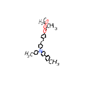 C=CC(=O)OC(C)COc1ccc(CCc2ccc(N(c3ccc(C)cc3)c3ccc(-c4ccc(C)cc4)cc3)cc2)cc1